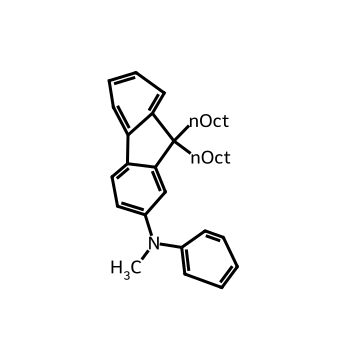 CCCCCCCCC1(CCCCCCCC)c2ccccc2-c2ccc(N(C)c3ccccc3)cc21